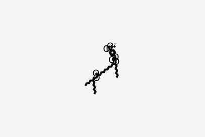 CCCCCCC(CCCC)COC(=O)CCCCCCCCC(CCCCCC)OC(=O)Oc1ccc([N+](=O)[O-])cc1